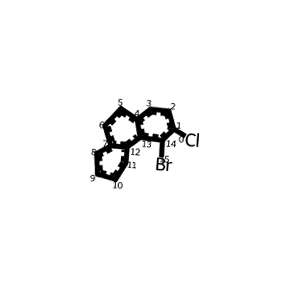 Clc1ccc2ccc3ccccc3c2c1Br